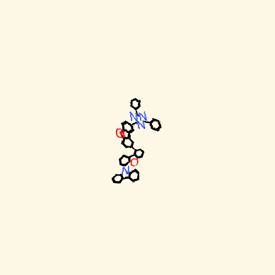 c1ccc(-c2nc(-c3ccccc3)nc(-c3ccc4oc5ccc(-c6cccc7oc8c(-n9c%10ccccc%10c%10ccccc%109)cccc8c67)cc5c4c3)n2)cc1